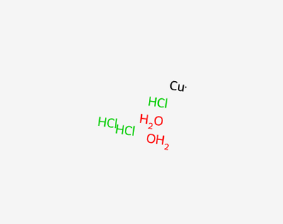 Cl.Cl.Cl.O.O.[Cu]